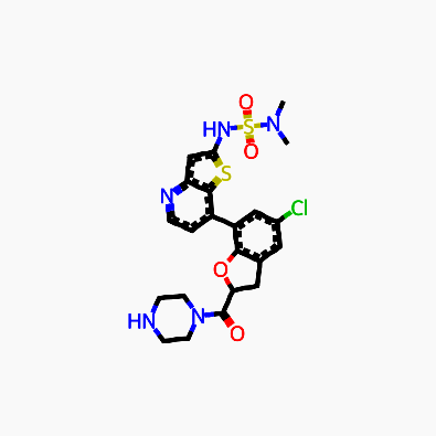 CN(C)S(=O)(=O)Nc1cc2nccc(-c3cc(Cl)cc4c3OC(C(=O)N3CCNCC3)C4)c2s1